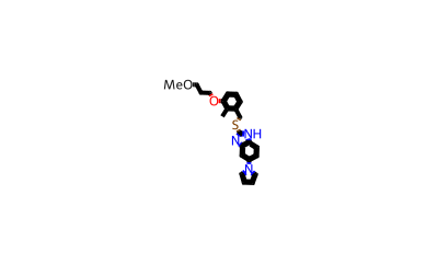 COCCCOc1cccc(CSc2nc3cc(-n4cccc4)ccc3[nH]2)c1C